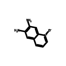 Nc1cc2ccc[n+]([O-])c2cc1N